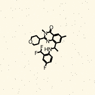 Cc1cc(C(C)Nc2ccc(F)cc2C(F)F)c2nc(C3CCOCC3)n(C)c(=O)c2c1